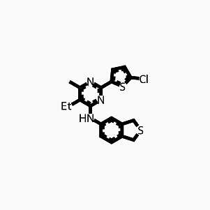 CCc1c(C)nc(-c2ccc(Cl)s2)nc1Nc1ccc2c(c1)CSC2